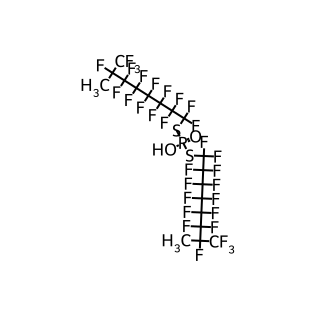 CC(F)(C(F)(F)F)C(F)(F)C(F)(F)C(F)(F)C(F)(F)C(F)(F)C(F)(F)SP(=O)(O)SC(F)(F)C(F)(F)C(F)(F)C(F)(F)C(F)(F)C(F)(F)C(C)(F)C(F)(F)F